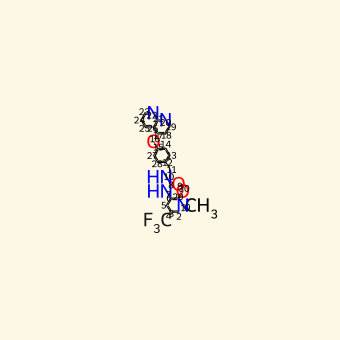 Cn1cc(C(F)(F)F)cc(NC(=O)NCc2ccc(Oc3ccnc4ncccc34)cc2)c1=O